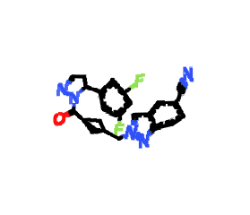 N#Cc1ccc2nn(CC34CC(C(=O)N5N=CCC5c5cc(F)cc(F)c5)(C3)C4)cc2c1